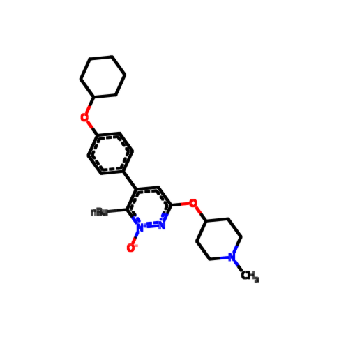 CCCCc1c(-c2ccc(OC3CCCCC3)cc2)cc(OC2CCN(C)CC2)n[n+]1[O-]